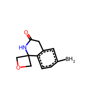 Bc1ccc2c(c1)CC(=O)NC21COC1